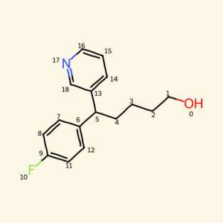 OCCCCC(c1ccc(F)cc1)c1cccnc1